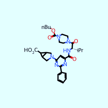 CCCCOC(=O)N1CCN(C(=O)[C@@H](NC(=O)c2cc(N3CC4C(C3)C4C(=O)O)nc(-c3ccccc3)n2)C(C)C)CC1